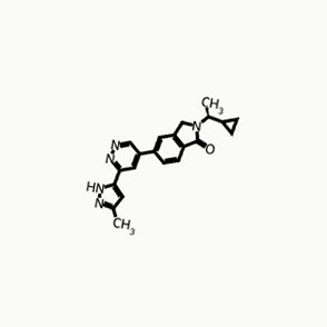 Cc1cc(-c2cc(-c3ccc4c(c3)CN([C@@H](C)C3CC3)C4=O)cnn2)[nH]n1